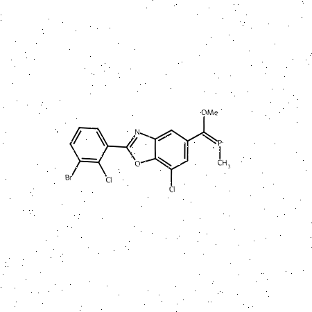 CO/C(=P/C)c1cc(Cl)c2oc(-c3cccc(Br)c3Cl)nc2c1